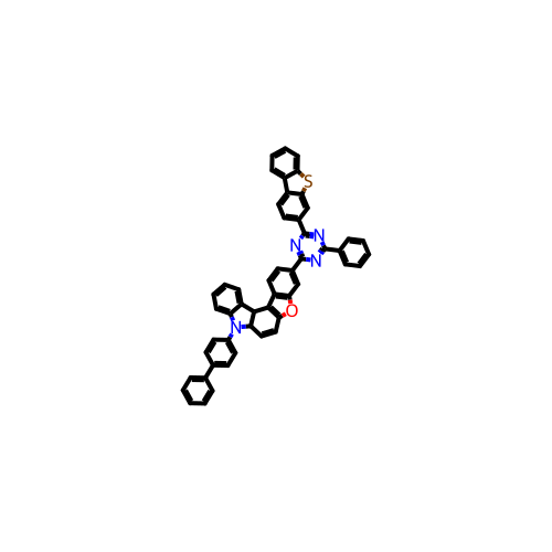 C1=CC2C(c3ccccc3N2c2ccc(-c3ccccc3)cc2)c2c1oc1cc(-c3nc(-c4ccccc4)nc(-c4ccc5c(c4)sc4ccccc45)n3)ccc21